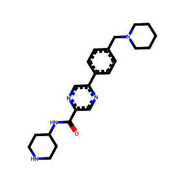 O=C(NC1CCNCC1)c1cnc(-c2ccc(CN3CCCCC3)cc2)cn1